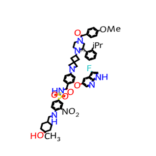 COc1ccc(C(=O)N2CCN(C3CC4(C3)CN(c3ccc(C(=O)NS(=O)(=O)c5ccc(NCC6CCC(C)(O)CC6)c([N+](=O)[O-])c5)c(Oc5cnc6[nH]cc(F)c6c5)c3)C4)[C@H](c3ccccc3C(C)C)C2)cc1